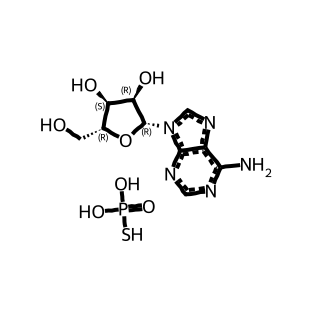 Nc1ncnc2c1ncn2[C@@H]1O[C@H](CO)[C@@H](O)[C@H]1O.O=P(O)(O)S